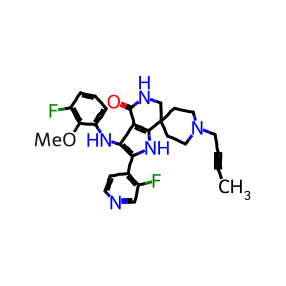 CC#CCN1CCC2(CC1)CNC(=O)c1c2[nH]c(-c2ccncc2F)c1Nc1cccc(F)c1OC